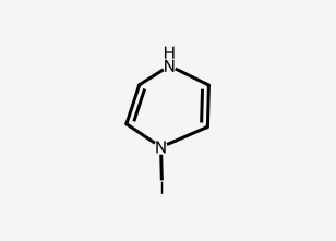 IN1C=CNC=C1